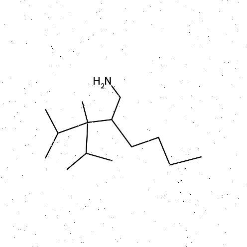 CCCCC(CN)C(C)(C(C)C)C(C)C